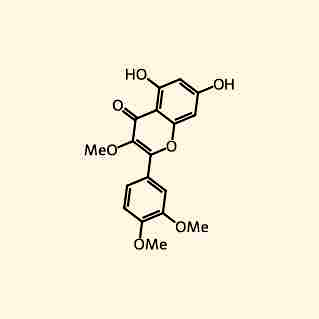 COc1ccc(-c2oc3cc(O)cc(O)c3c(=O)c2OC)cc1OC